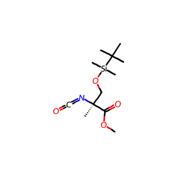 COC(=O)[C@](C)(CO[Si](C)(C)C(C)(C)C)N=C=O